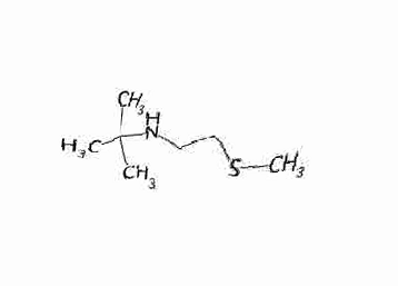 CSCCNC(C)(C)C